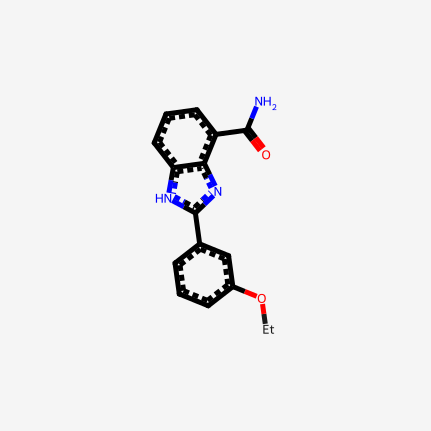 CCOc1cccc(-c2nc3c(C(N)=O)cccc3[nH]2)c1